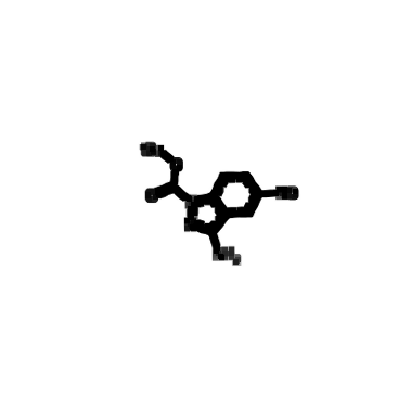 CC(C)(C)OC(=O)n1nc(N)c2cc(N=O)ccc21